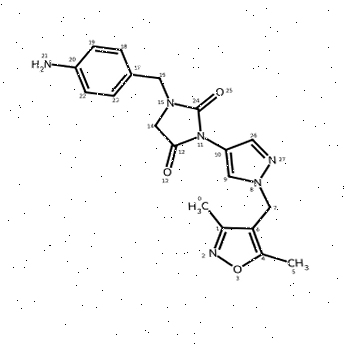 Cc1noc(C)c1Cn1cc(N2C(=O)CN(Cc3ccc(N)cc3)C2=O)cn1